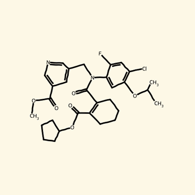 COC(=O)c1cncc(CN(C(=O)C2=C(C(=O)OC3CCCC3)CCCC2)c2cc(OC(C)C)c(Cl)cc2F)c1